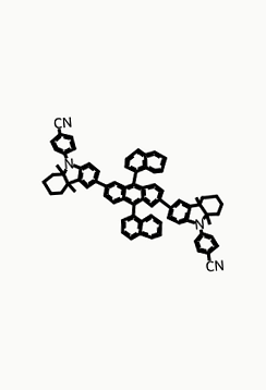 CC12CCCCC1(C)N(c1ccc(C#N)cc1)c1ccc(-c3ccc4c(-c5cccc6ccccc56)c5cc(-c6ccc7c(c6)C6(C)CCCCC6(C)N7c6ccc(C#N)cc6)ccc5c(-c5cccc6ccccc56)c4c3)cc12